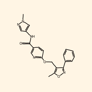 Cc1onc(-c2ccccc2)c1COc1ccc(C(=O)Nc2cnn(C)c2)cn1